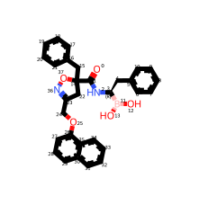 O=C(N[C@@H](Cc1ccccc1)B(O)O)C1(Cc2ccccc2)CC(COc2cccc3ccccc23)=NO1